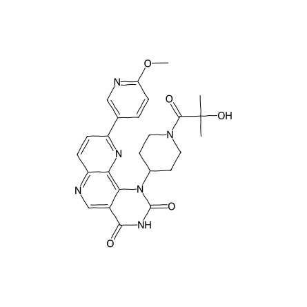 COc1ccc(-c2ccc3ncc4c(=O)[nH]c(=O)n(C5CCN(C(=O)C(C)(C)O)CC5)c4c3n2)cn1